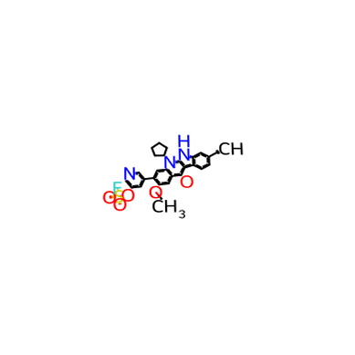 C#Cc1ccc2c(c1)[nH]c1c2c(=O)c2cc(OCC)c(-c3cncc(OS(=O)(=O)F)c3)cc2n1C1CCCC1